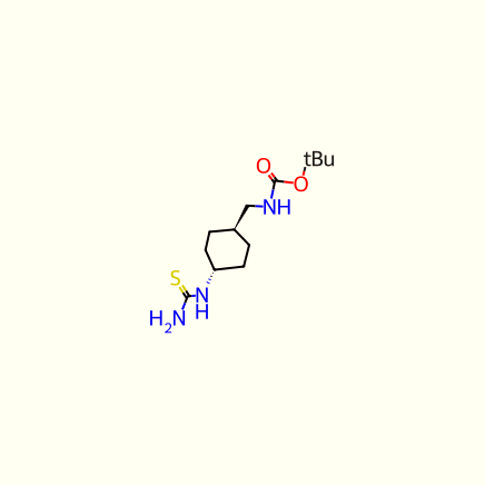 CC(C)(C)OC(=O)NC[C@H]1CC[C@H](NC(N)=S)CC1